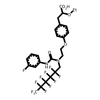 CCOC(Cc1ccc(OCCN(CC(F)(F)C(F)(F)C(F)(F)C(F)(F)C(F)(F)F)C(=O)Nc2cccc(F)c2)cc1)C(=O)O